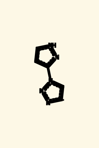 [c]1cn(-c2cc[nH]n2)nn1